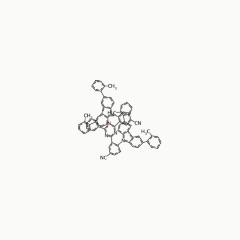 Cc1ccccc1-c1ccc2c(c1)c1cc(-c3ccccc3C)ccc1n2-c1ccc(C#N)cc1-c1nc(-c2ccccc2)nc(-c2cc(C#N)ccc2-n2c3ccc(-c4ccccc4C)cc3c3cc(-c4ccccc4C)ccc32)n1